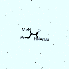 CCCCNC(=O)C(CC(C)C)NC